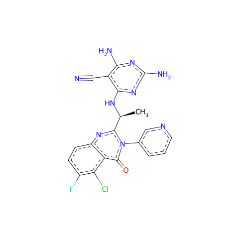 C[C@H](Nc1nc(N)nc(N)c1C#N)c1nc2ccc(F)c(Cl)c2c(=O)n1-c1cccnc1